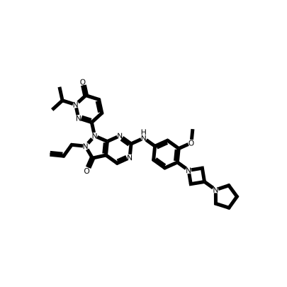 C=CCn1c(=O)c2cnc(Nc3ccc(N4CC(N5CCCC5)C4)c(OC)c3)nc2n1-c1ccc(=O)n(C(C)C)n1